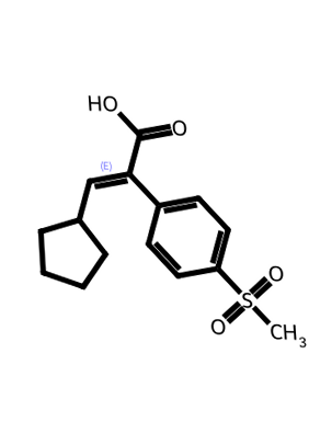 CS(=O)(=O)c1ccc(/C(=C\C2CCCC2)C(=O)O)cc1